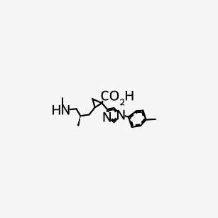 Cc1ccc(-n2cnc(C3(C(=O)O)CC3C[C@@H](C)CNI)c2)cc1